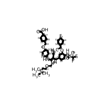 CC(Oc1cc(-c2nn(COCC[Si](C)(C)C)c(Nc3ccc(OCc4ccc(C(=O)O)cc4)cn3)c2C#N)ccc1NS(=O)(=O)C(F)F)c1ccc(F)cc1